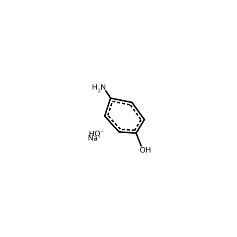 Nc1ccc(O)cc1.[Na+].[OH-]